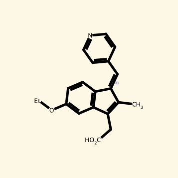 CCOc1ccc2c(c1)C(CC(=O)O)=C(C)/C2=C/c1ccncc1